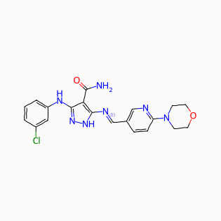 NC(=O)c1c(Nc2cccc(Cl)c2)n[nH]c1/N=C/c1ccc(N2CCOCC2)nc1